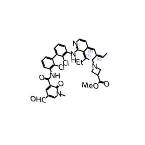 C\C=C(/C=c1/ccnc(Nc2cccc(-c3cccc(NC(=O)c4cc(C=O)cn(C)c4=O)c3Cl)c2Cl)/c1=C(/C)CC)CN1CC(C(=O)OC)C1